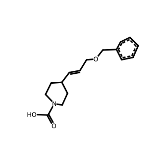 O=C(O)N1CCC(C=CCOCc2ccccc2)CC1